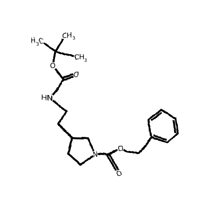 CC(C)(C)OC(=O)NCCC1CCN(C(=O)OCc2ccccc2)C1